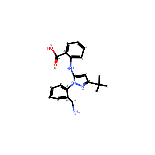 CC(C)(C)c1cc(Nc2ccccc2C(=O)O)n(-c2ccccc2CN)n1